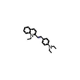 CCN(CC)c1ccc(/C=C/c2ccc3ccccc3[n+]2CC)cc1